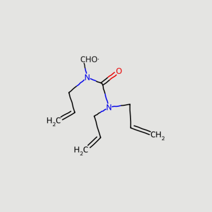 C=CCN([C]=O)C(=O)N(CC=C)CC=C